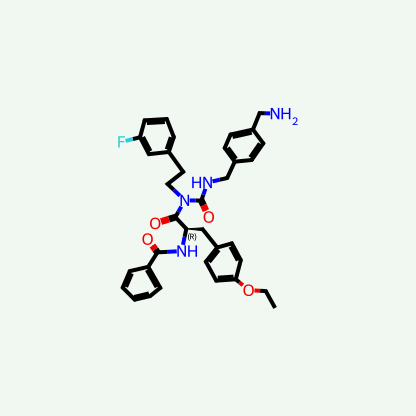 CCOc1ccc(C[C@@H](NC(=O)c2ccccc2)C(=O)N(CCc2cccc(F)c2)C(=O)NCc2ccc(CN)cc2)cc1